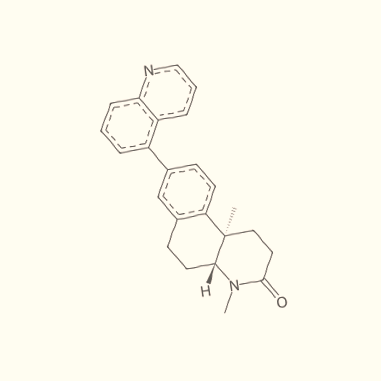 CN1C(=O)CC[C@]2(C)c3ccc(-c4cccc5ncccc45)cc3CC[C@@H]12